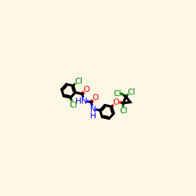 O=C(NC(=O)c1c(Cl)cccc1Cl)Nc1cccc(OC2(Cl)CC2(Cl)Cl)c1